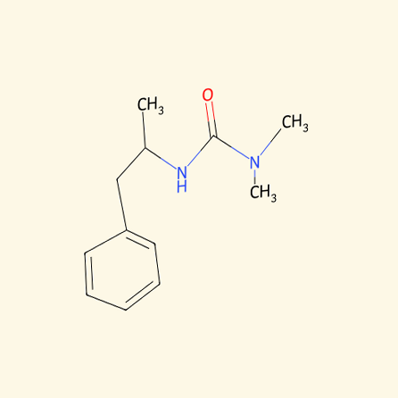 CC(Cc1ccccc1)NC(=O)N(C)C